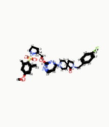 COc1cc(C)c(S(=O)(=O)N2CCC[C@H]2COc2nccc(N3CCC4(CCN(Cc5ccc(F)cc5)C4=O)CC3)n2)c(C)c1